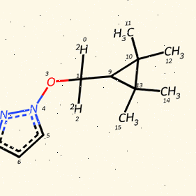 [2H]C([2H])(On1cccn1)C1C(C)(C)C1(C)C